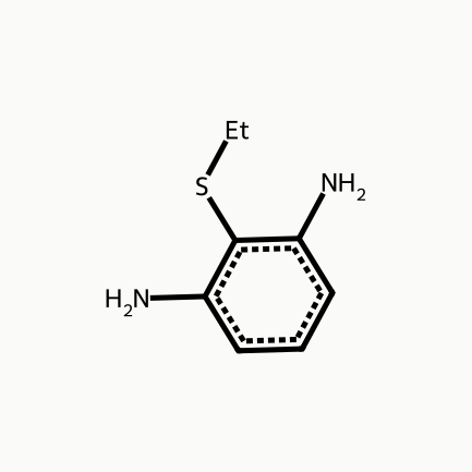 CCSc1c(N)cccc1N